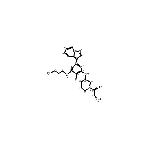 COCCOc1nc(-c2cnn3ccccc23)nc(N[C@@H]2CCCN(C(=O)CO)C2)c1F